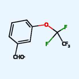 O=[C]c1cccc(OC(F)(F)C(F)(F)F)c1